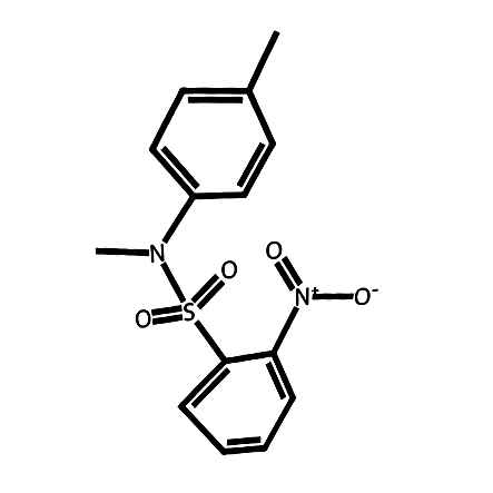 Cc1ccc(N(C)S(=O)(=O)c2ccccc2[N+](=O)[O-])cc1